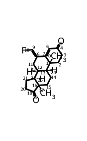 C[C@]12CCC(=O)C=C1C(=CF)C[C@@H]1[C@H]2CC[C@]2(C)C(=O)CC[C@@H]12